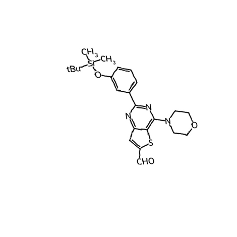 CC(C)(C)[Si](C)(C)Oc1cccc(-c2nc(N3CCOCC3)c3sc(C=O)cc3n2)c1